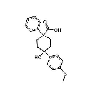 CSc1ccc(C2(O)CCC(C(=O)O)(c3ccccc3)CC2)cc1